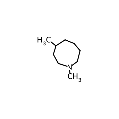 CC1CCCCN(C)CC1